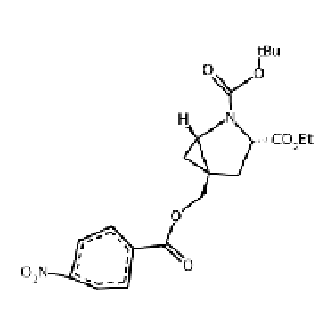 CCOC(=O)[C@@H]1C[C@]2(COC(=O)c3ccc([N+](=O)[O-])cc3)C[C@@H]2N1C(=O)OC(C)(C)C